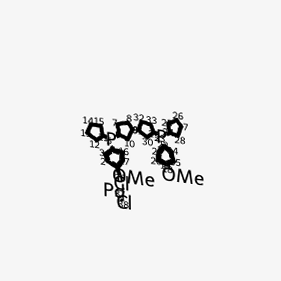 COc1ccc(P(C2CCCC2)C2CCCC2)cc1.COc1ccc(P(C2CCCC2)C2CCCC2)cc1.[Cl][Pd][Cl]